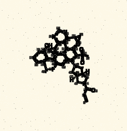 C=CC(=O)N1C[C@@H]2CN(c3c(S(C)(=O)=O)c(=O)n(-c4c(C5CC5)ncnc4C4CC4)c4nc(-c5c(O)cccc5F)c(F)cc34)C[C@@H]2C1